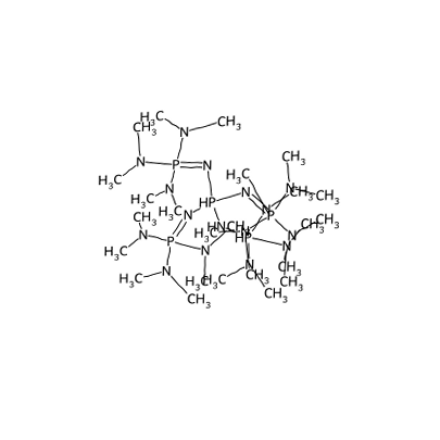 CN(C)P(=N[PH](N=P(N(C)C)(N(C)C)N(C)C)(N=P(N(C)C)(N(C)C)N(C)C)N[PH](N(C)C)(N(C)C)N(C)C)(N(C)C)N(C)C